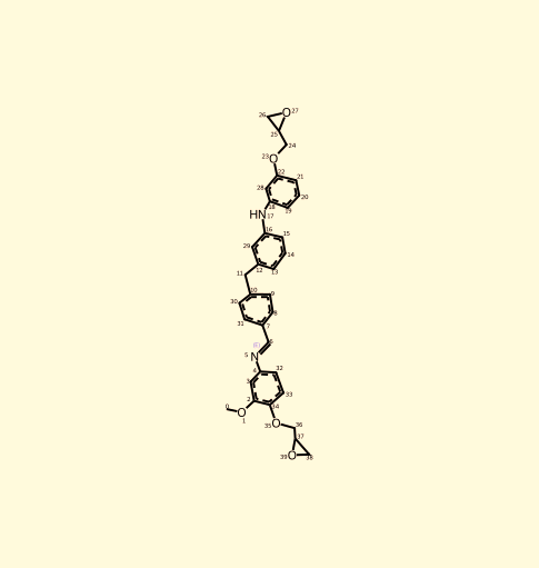 COc1cc(/N=C/c2ccc(Cc3cccc(Nc4cccc(OCC5CO5)c4)c3)cc2)ccc1OCC1CO1